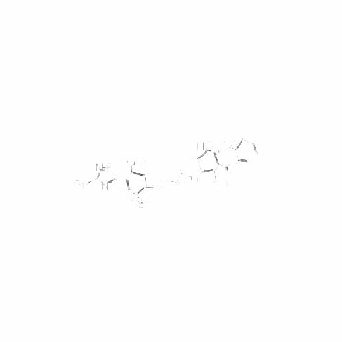 CCCc1c(OCCCOc2cc(O)c(-c3nc(Br)ns3)cc2CC)cccc1Oc1ccccc1C(=O)O